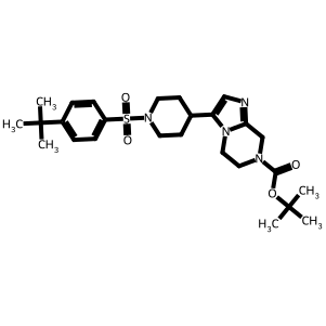 CC(C)(C)OC(=O)N1CCn2c(C3CCN(S(=O)(=O)c4ccc(C(C)(C)C)cc4)CC3)cnc2C1